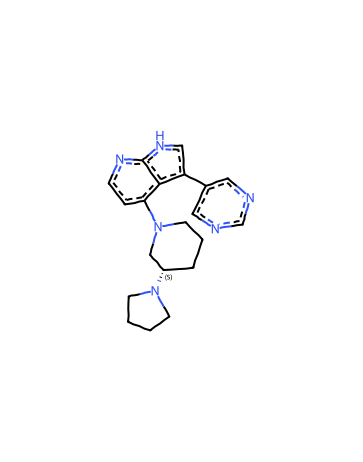 c1ncc(-c2c[nH]c3nccc(N4CCC[C@H](N5CCCC5)C4)c23)cn1